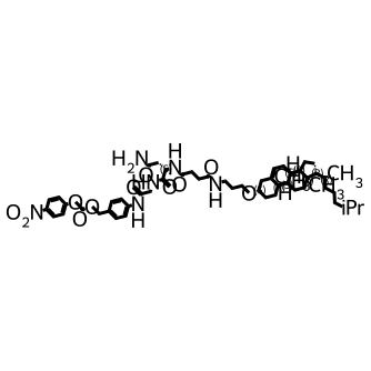 CC(C)CCC[C@@H](C)[C@H]1CC[C@H]2[C@@H]3CC=C4C[C@@H](OCCCNC(=O)CCC(=O)N[C@@H](CC(N)=O)C(=O)NCC(=O)Nc5ccc(COC(=O)Oc6ccc([N+](=O)[O-])cc6)cc5)CC[C@]4(C)[C@H]3CC[C@]12C